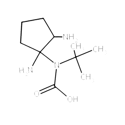 CC(C)(C)N(C(=O)O)C1(N)CCCC1N